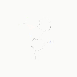 Cc1cc(N)c(-c2ccccc2OC(F)F)c(N)c1